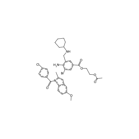 CC(=O)OCCOC(=O)c1cc(Br)c(N)c(CNC2CCCCC2)c1.COc1ccc2c(c1)cc(C)n2C(=O)c1ccc(Cl)cc1